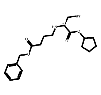 CC(C)C[C@H](NCCCC(=O)OCc1ccccc1)C(=O)OC1CCCC1